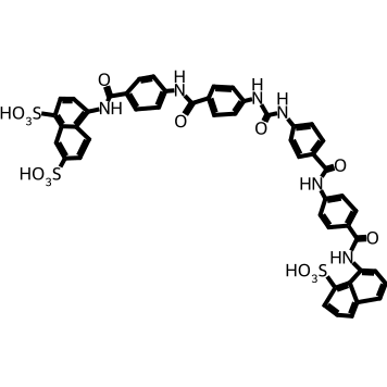 O=C(Nc1ccc(C(=O)Nc2ccc(C(=O)Nc3ccc(S(=O)(=O)O)c4cc(S(=O)(=O)O)ccc34)cc2)cc1)Nc1ccc(C(=O)Nc2ccc(C(=O)Nc3cccc4cccc(S(=O)(=O)O)c34)cc2)cc1